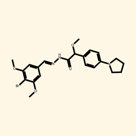 COc1cc(/C=N/NC(=O)C(OC)c2ccc(N3CCCC3)cc2)cc(OC)c1Br